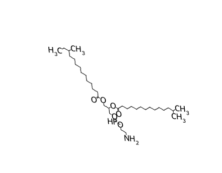 CCC(C)CCCCCCCCCCC(=O)OCC(COPOCCN)OC(=O)CCCCCCCCCCCC(C)C